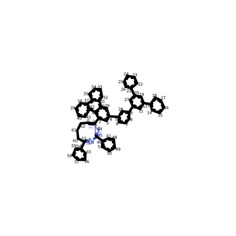 C1=C(c2cc(-c3cccc(-c4cc(-c5ccccc5)cc(-c5ccccc5)c4)c3)cc3c4ccccc4c4ccccc4c23)/N=C(c2ccccc2)\N=C(\c2ccccc2)CCC\1